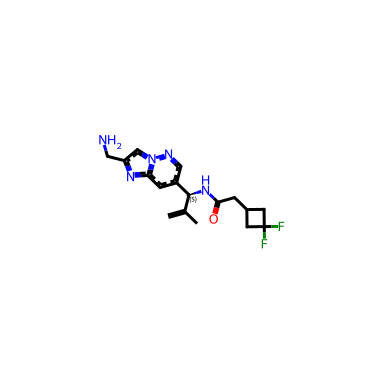 C=C(C)[C@H](NC(=O)CC1CC(F)(F)C1)c1cnn2cc(CN)nc2c1